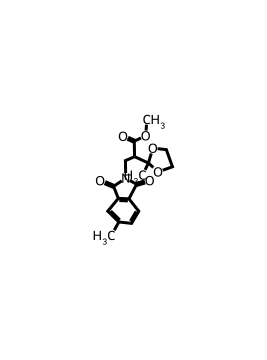 COC(=O)C(CN1C(=O)c2ccc(C)cc2C1=O)C1(C)OCCO1